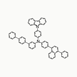 c1ccc(-c2ccc(-c3cccc(N(c4ccc(-c5ccc(-c6ccccc6)c6ccccc56)cc4)c4ccc(-n5c6ccccc6c6ccccc65)cc4)c3)cc2)cc1